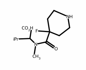 CC(C)C(C(=O)O)N(C)C(=O)C1(F)CCNCC1